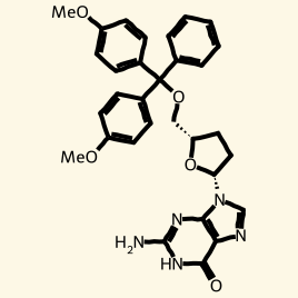 COc1ccc(C(OC[C@@H]2CC[C@H](n3cnc4c(=O)[nH]c(N)nc43)O2)(c2ccccc2)c2ccc(OC)cc2)cc1